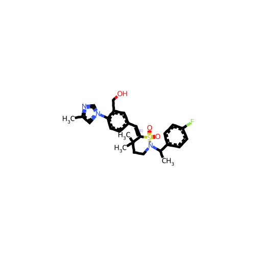 Cc1cn(-c2ccc(/C=C3\C(C)(C)CCN(C(C)c4ccc(F)cc4)S3(=O)=O)cc2CO)cn1